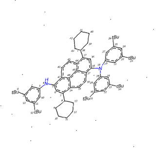 CC(C)(C)c1cc(Nc2cc(C3CCCCC3)c3ccc4c(N(c5cc(C(C)(C)C)cc(C(C)(C)C)c5)c5cc(C(C)(C)C)cc(C(C)(C)C)c5)cc(C5CCCCC5)c5ccc2c3c54)cc(C(C)(C)C)c1